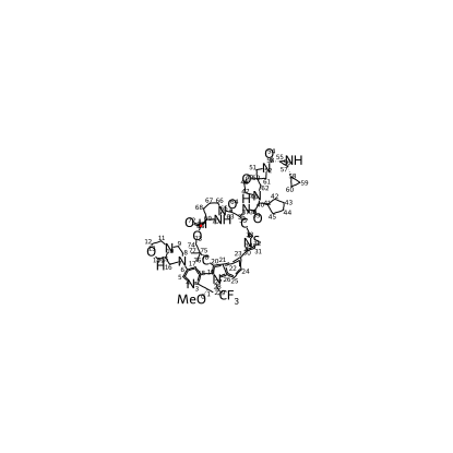 CO[C@@H](C)c1ncc(N2CCN3CCOC[C@@H]3C2)cc1-c1c2c3cc(ccc3n1CC(F)(F)F)-c1csc(n1)C[C@H](NC(=O)[C@H](C1CCCC1)N1CCOC3(CN(C(=O)[C@@H]4N[C@@H]4C4CC4)C3)C1)C(=O)N1CCC[C@H](N1)C(=O)OCC(C)(C)C2